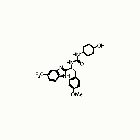 COc1ccc(C[C@@H](NC(=O)N[C@H]2CC[C@H](O)CC2)c2nc3cc(C(F)(F)F)ccc3[nH]2)cc1